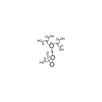 O=COCC1(CC(=O)O)c2ccccc2-c2ccc(C#Cc3cc(CN(CC(=O)O)CC(=O)O)nc(CN(CC(=O)O)CC(=O)O)c3)cc21